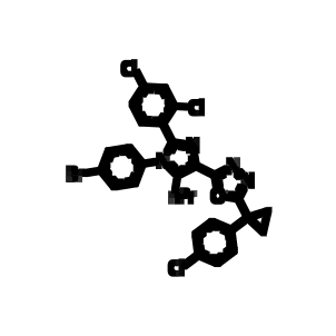 CCCc1c(-c2nnc(C3(c4ccc(Cl)cc4)CC3)o2)nc(-c2ccc(Cl)cc2Cl)n1-c1ccc(Br)cc1